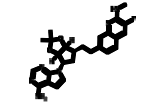 CNc1nc2cc(CC[C@H]3C[C@@H](n4ccc5c(N)ncnc54)[C@@H]4OC(C)(C)O[C@H]34)ccc2cc1F